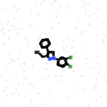 N#CCc1nn(-c2ccc(Cl)c(Cl)c2)cc1-c1ccccc1